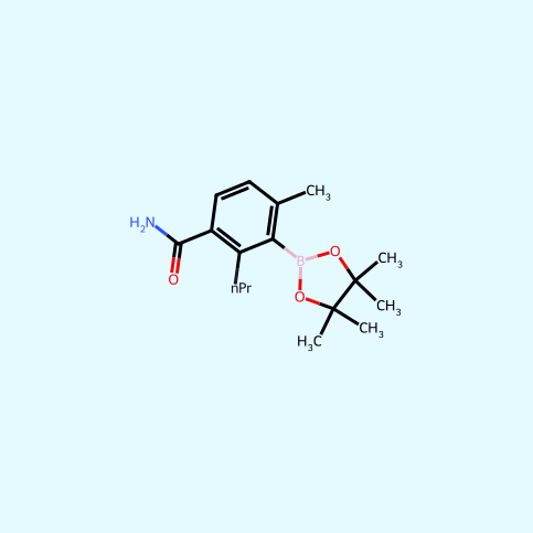 CCCc1c(C(N)=O)ccc(C)c1B1OC(C)(C)C(C)(C)O1